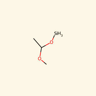 COC(C)O[SiH3]